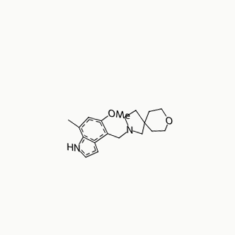 COc1cc(C)c2[nH]ccc2c1CN1CCC2(CCOCC2)C1